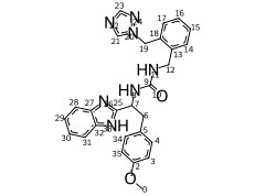 COc1ccc(CC(NC(=O)NCc2ccccc2Cn2cncn2)c2nc3ccccc3[nH]2)cc1